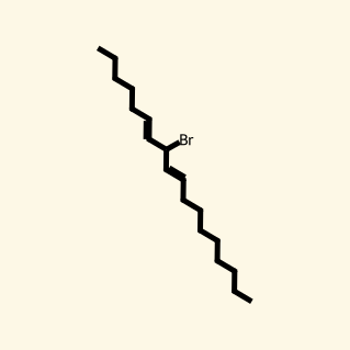 CCCCCC=CC(Br)C=CCCCCCCCC